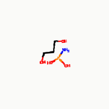 NP(O)O.OCCCO